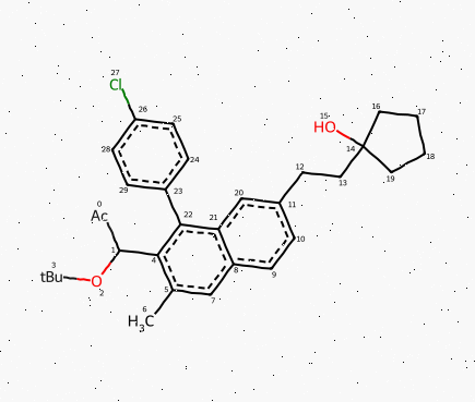 CC(=O)C(OC(C)(C)C)c1c(C)cc2ccc(CCC3(O)CCCC3)cc2c1-c1ccc(Cl)cc1